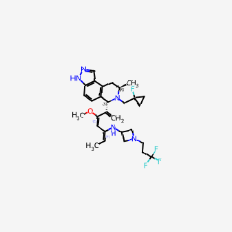 C=C(/C(=C\C(=C/C)NC1CN(CCC(F)(F)F)C1)OC)[C@@H]1c2ccc3[nH]ncc3c2C[C@@H](C)N1CC1(F)CC1